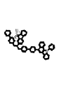 CC1(C)c2ccccc2-c2ccc(/C(=C\c3ccc(-c4ccccc4)cc3)Cc3ccc(-c4ccc(-c5cc6c7ccccc7n(-c7ccccc7)c6c6ccccc56)cc4)cc3)cc21